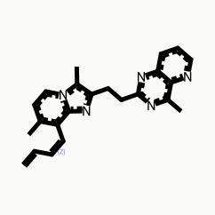 C=C/C=C\c1c(C)ccn2c(C)c(CCc3nc(C)c4ncccc4n3)nc12